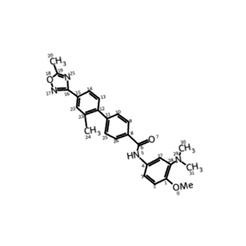 COc1ccc(NC(=O)c2ccc(-c3ccc(-c4noc(C)n4)cc3C)cc2)cc1N(C)C